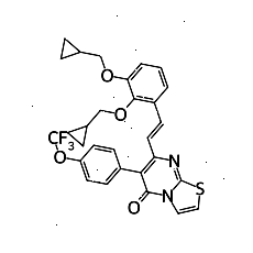 O=c1c(-c2ccc(OC(F)(F)F)cc2)c(C=Cc2cccc(OCC3CC3)c2OCC2CC2)nc2sccn12